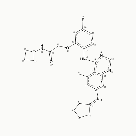 Cc1cc(N=S2CCCC2)cc2ncnc(Nc3ccc(F)cc3OCC(=O)NC3CCC3)c12